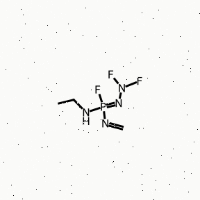 C=NP(F)(=NN(F)F)NCC